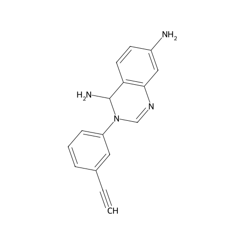 C#Cc1cccc(N2C=Nc3cc(N)ccc3C2N)c1